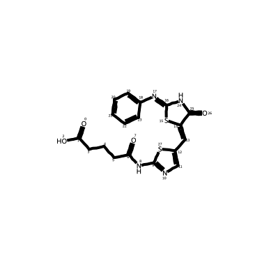 O=C(O)CCCC(=O)Nc1ncc(C=C2SC(=Nc3ccccc3)NC2=O)s1